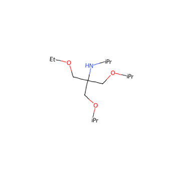 CCOCC(COC(C)C)(COC(C)C)NC(C)C